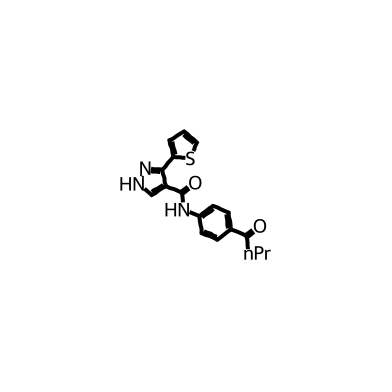 CCCC(=O)c1ccc(NC(=O)c2c[nH]nc2-c2cccs2)cc1